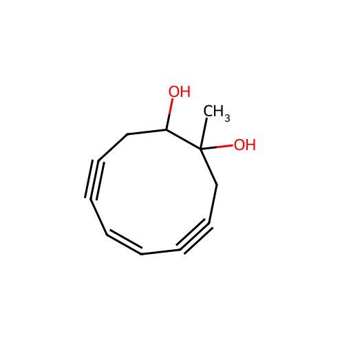 CC1(O)CC#CC=CC#CCC1O